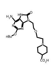 CCCCOc1nc(N)c2[nH]c(=O)n(CCOCCN3CCC(C(=O)O)CC3)c2n1